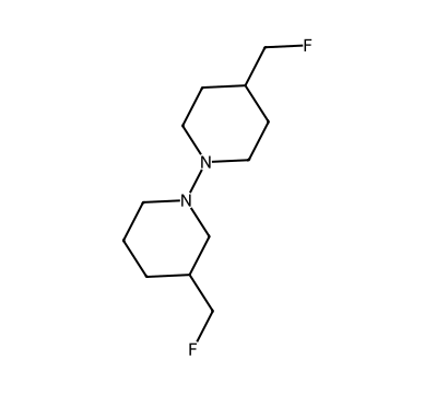 FCC1CCN(N2CCCC(CF)C2)CC1